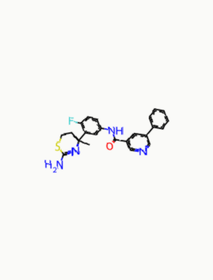 CC1(c2cc(NC(=O)c3cncc(-c4ccccc4)c3)ccc2F)CCSC(N)=N1